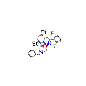 CC[C@H]1CC[C@](CC)([C@H]2CN(Cc3ccccc3)CCO2)c2nnc(-c3c(F)cccc3F)cc21